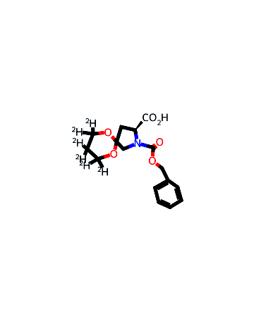 [2H]C1([2H])OC2(C[C@@H](C(=O)O)N(C(=O)OCc3ccccc3)C2)OC([2H])([2H])C1([2H])[2H]